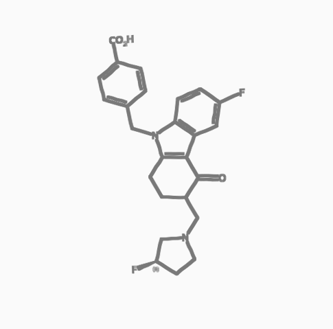 O=C(O)c1ccc(Cn2c3c(c4cc(F)ccc42)C(=O)C(CN2CC[C@@H](F)C2)CC3)cc1